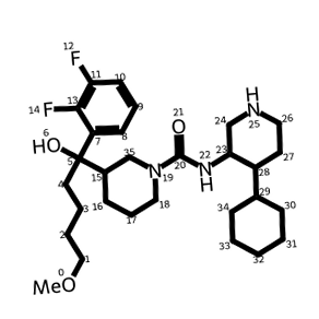 COCCCCC(O)(c1cccc(F)c1F)C1CCCN(C(=O)NC2CNCCC2C2CCCCC2)C1